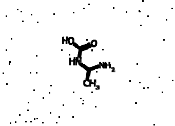 CC(N)NC(=O)O